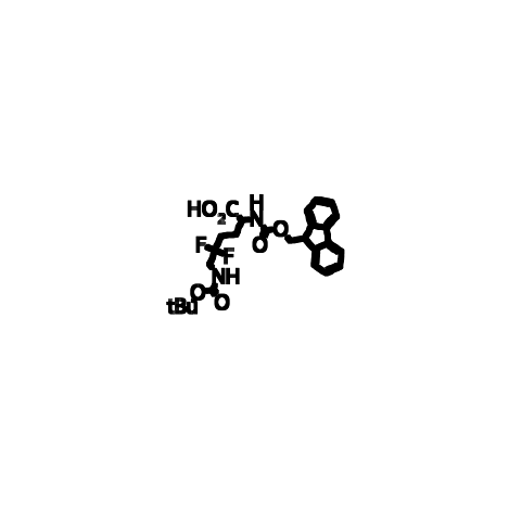 CC(C)(C)OC(=O)NCC(F)(F)CCC(NC(=O)OCC1c2ccccc2-c2ccccc21)C(=O)O